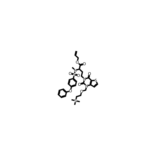 C=CCOC(=O)C(CCn1c(=O)c2sccc2n(COCC[Si](C)(C)C)c1=O)N(C)S(=O)(=O)c1ccc(Oc2ccccc2)cc1